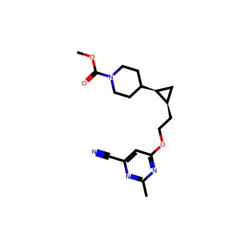 COC(=O)N1CCC([C@H]2C[C@H]2CCOc2cc(C#N)nc(C)n2)CC1